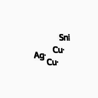 [Ag].[Cu].[Cu].[Sn]